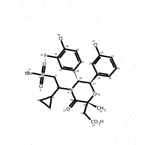 CC(C)(C)S(=O)(=O)CC(C1CC1)N1C(=O)[C@@](C)(CC(=O)O)O[C@H](c2cccc(Cl)c2)[C@H]1c1ccc(Cl)c(F)c1